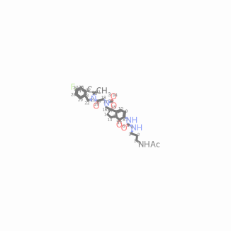 CC(=O)NCCCNC(=O)NC1=CC=C2C(CC[C@]23CN(CC(=O)N(Cc2ccc(F)cc2)C(C)C(F)(F)F)C(=O)O3)C1=O